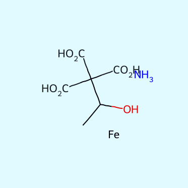 CC(O)C(C(=O)O)(C(=O)O)C(=O)O.N.[Fe]